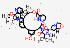 CCn1c(-c2cccnc2[C@H](C)OC)c2c3cc(ccc31)-c1cc(O)cc(c1)C[C@H](NC(=O)C(C(C)C)N(C)C(=O)[C@H]1C[C@@H]3COCCN3C1)C(=O)N1CCC[C@H](N1)C(=O)OCC(C)(C)C2